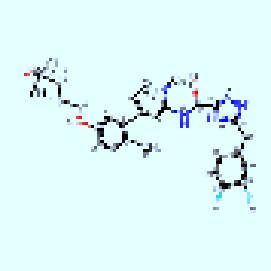 C=N/C(=C\C(=C/C)c1cc(OCCCC(C)(C)O)ccc1C)NC(=O)c1nnc(Cc2ccc(F)c(F)c2)[nH]1